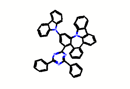 c1ccc(-c2nc(-c3ccccc3)nc(-c3cc(-n4c5ccccc5c5ccccc54)cc4c3-c3ccccc3-c3cccc5c6ccccc6n-4c35)n2)cc1